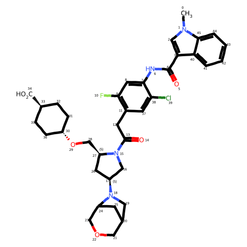 Cn1cc(C(=O)Nc2cc(F)c(CC(=O)N3C[C@@H](N4CC5COCC4C5)C[C@H]3CO[C@H]3CC[C@H](C(=O)O)CC3)cc2Cl)c2ccccc21